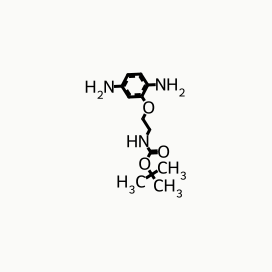 CC(C)(C)OC(=O)NCCOc1cc(N)ccc1N